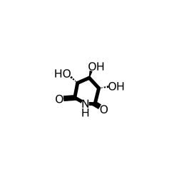 O=C1NC(=O)[C@H](O)[C@@H](O)[C@@H]1O